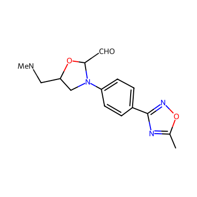 CNCC1CN(c2ccc(-c3noc(C)n3)cc2)C(C=O)O1